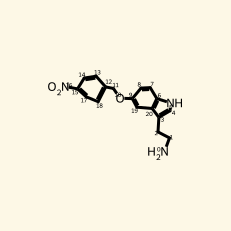 NCCc1c[nH]c2ccc(OCc3ccc([N+](=O)[O-])cc3)cc12